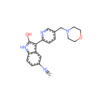 [C-]#[N+]c1ccc2[nH]c(O)c(-c3ccc(CN4CCOCC4)cn3)c2c1